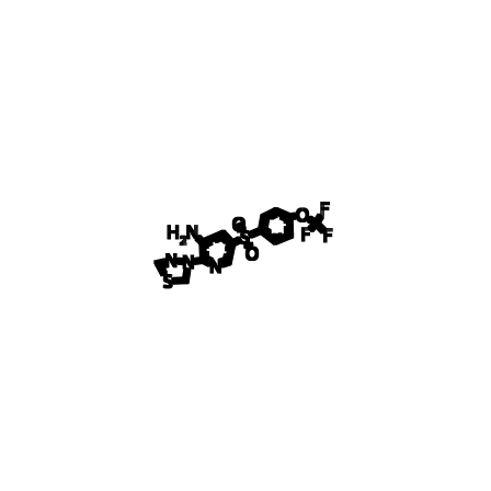 Nc1cc(S(=O)(=O)c2ccc(OC(F)(F)F)cc2)cnc1N1CSC=N1